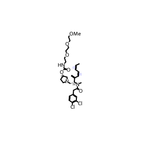 C=C(/C=C\C=C/C)[C@@H](CN1CC[C@H](OC(=O)NCCOCCOCCOC)C1)N(C)C(=O)Cc1ccc(Cl)c(Cl)c1